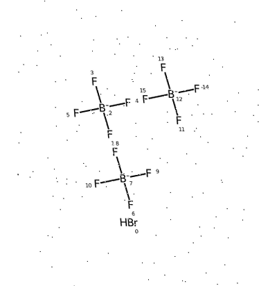 Br.F[B-](F)(F)F.F[B-](F)(F)F.F[B-](F)(F)F